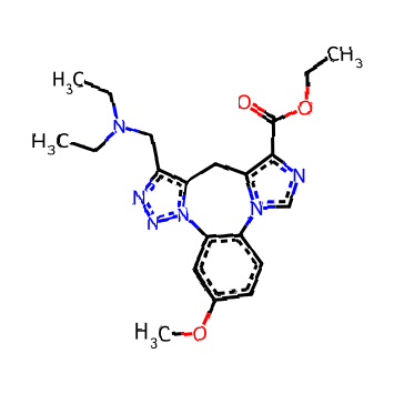 CCOC(=O)c1ncn2c1Cc1c(CN(CC)CC)nnn1-c1cc(OC)ccc1-2